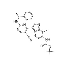 Cc1c(NC(=O)OC(C)(C)C)ccn2c(-c3nc(N[C@@H](C)c4ccccc4)ncc3C#N)cnc12